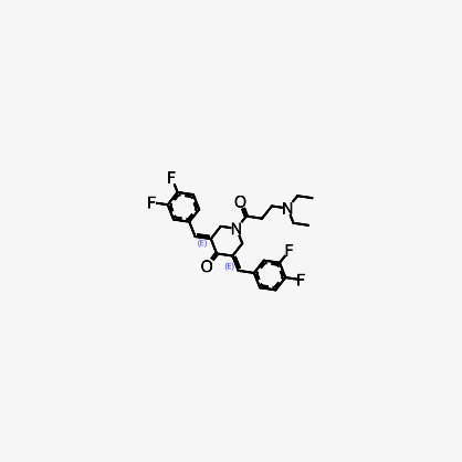 CCN(CC)CCC(=O)N1C/C(=C\c2ccc(F)c(F)c2)C(=O)/C(=C/c2ccc(F)c(F)c2)C1